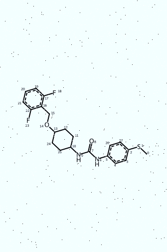 CSc1ccc(NC(=O)NC2CCC(OCc3c(F)cccc3F)CC2)cc1